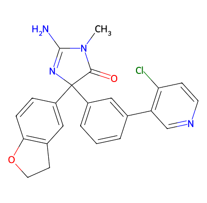 CN1C(=O)C(c2cccc(-c3cnccc3Cl)c2)(c2ccc3c(c2)CCO3)N=C1N